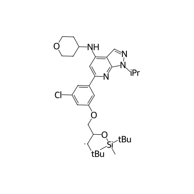 CC(C)n1ncc2c(NC3CCOCC3)cc(-c3cc(Cl)cc(OCC([CH]C(C)(C)C)O[Si](C)(C)C(C)(C)C)c3)nc21